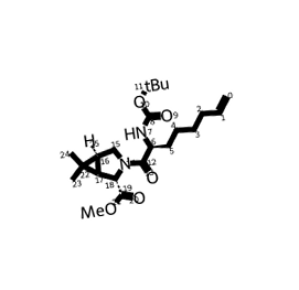 C=CCCCC[C@H](NC(=O)OC(C)(C)C)C(=O)N1C[C@H]2C([C@H]1C(=O)OC)C2(C)C